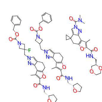 Cc1c(C(=O)NC[C@@H]2CCCO2)oc2c1-c1nn(CC3(F)CN(C(=O)OCc4ccccc4)C3)cc1CC2.Cc1c(C(=O)NC[C@@H]2CCCO2)oc2c1-c1nn(CC3CN(C(=O)OCc4ccccc4)C3)cc1CC2.Cc1c(C(=O)NC[C@@H]2COCCO2)oc2c1-c1nn(C(=O)N(C)C)cc1C1(CC1)C2